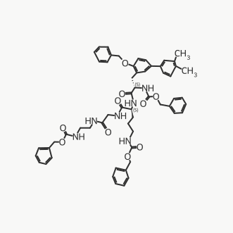 Cc1ccc(-c2ccc(OCc3ccccc3)c(C[C@H](NC(=O)OCc3ccccc3)C(=O)N[C@@H](CCCNC(=O)OCc3ccccc3)C(=O)NCC(=O)NCCNC(=O)OCc3ccccc3)c2)cc1C